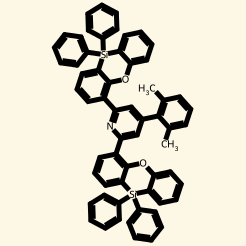 Cc1cccc(C)c1-c1cc(-c2cccc3c2Oc2ccccc2[Si]3(c2ccccc2)c2ccccc2)nc(-c2cccc3c2Oc2ccccc2[Si]3(c2ccccc2)c2ccccc2)c1